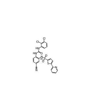 N#Cc1ccc(NC(=O)Nc2cccc(Cl)c2Cl)c(NS(=O)(=O)c2ccc(-c3ccccn3)s2)c1